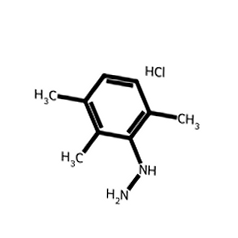 Cc1ccc(C)c(NN)c1C.Cl